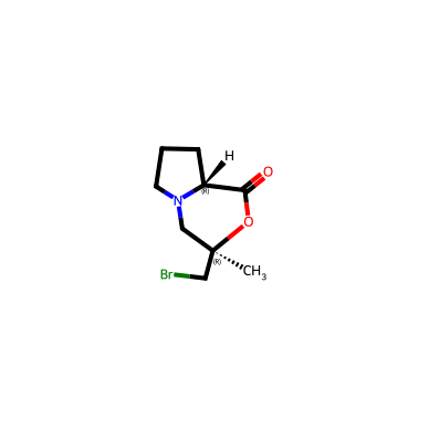 C[C@]1(CBr)CN2CCC[C@@H]2C(=O)O1